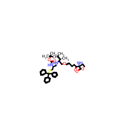 CC[C@H](C)C(COC=CCCC(=O)[C@]1(N)CCOC1=O)NCC(CSC(c1ccccc1)(c1ccccc1)c1ccccc1)NC(=O)OC(C)(C)C